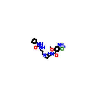 COc1cc(N)c(Cl)cc1C(=O)NCC1CCN(CCCNC(=O)Nc2ccccc2)C1